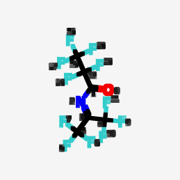 O=C(N=C(C(F)(F)F)C(F)(F)F)C(F)(F)C(F)(F)F